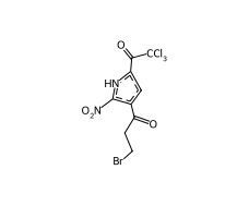 O=C(CCBr)c1cc(C(=O)C(Cl)(Cl)Cl)[nH]c1[N+](=O)[O-]